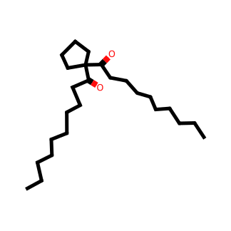 CCCCCCCCCC(=O)C1(C(=O)CCCCCCCCC)CCCC1